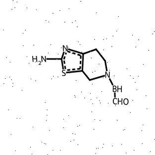 Nc1nc2c(s1)CN(BC=O)CC2